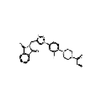 C=CC(=O)N1CCN(c2ccc(-n3cc(CN4C(=O)c5ccccc5C4=O)nn3)cc2F)CC1